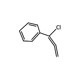 C=C=C(Cl)c1ccccc1